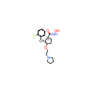 Cc1c(F)cccc1[C@]1(C(=O)NO)CCC(OCCN2CCCC2)C1